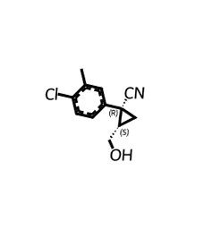 Cc1cc([C@@]2(C#N)C[C@@H]2CO)ccc1Cl